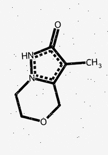 Cc1c2n([nH]c1=O)CCOC2